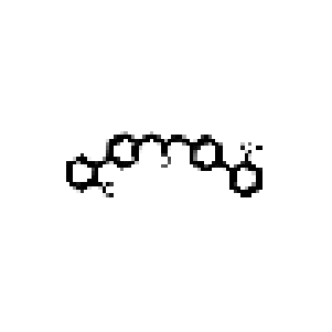 O=C(Cc1ccc(-c2ccccc2O)cc1)Cc1ccc(-c2ccccc2O)cc1